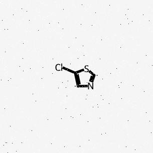 Clc1[c]n[c]s1